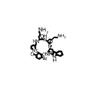 CN1C(=O)C(CCCCN)NC(=O)C(CCCN)NCc2cccnc2Sc2c(Cl)ccc(Br)c2CNC(=O)C1Cc1c[nH]c2ccccc12